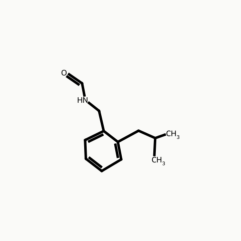 CC(C)Cc1ccccc1CNC=O